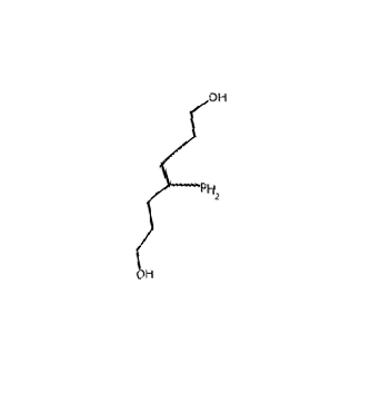 OCCCC(P)CCCO